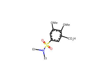 CCN(CC)S(=O)(=O)c1cc(OC)c(OC)c(C(=O)O)c1